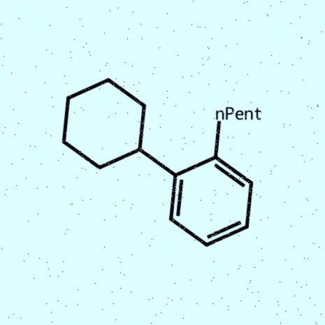 [CH2]CCCCc1ccccc1C1CCCCC1